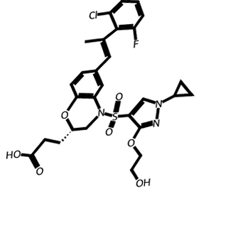 C/C(=C\c1ccc2c(c1)N(S(=O)(=O)c1cn(C3CC3)nc1OCCO)C[C@H](CCC(=O)O)O2)c1c(F)cccc1Cl